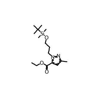 CCOC(=O)c1cc(C)nn1CCCO[Si](C)(C)C(C)(C)C